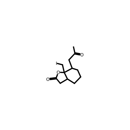 CC(=O)CC1CCCC2CC(=O)OC12CI